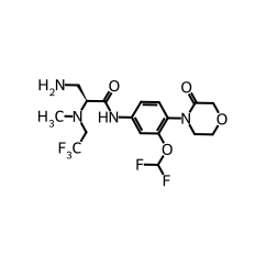 CN(CC(F)(F)F)[C@@H](CN)C(=O)Nc1ccc(N2CCOCC2=O)c(OC(F)F)c1